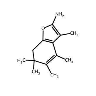 CC1=C(C)C(C)(C)Cc2oc(N)c(C)c21